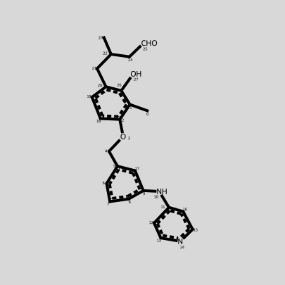 Cc1c(OCc2cccc(Nc3ccncc3)c2)ccc(CC(C)CC=O)c1O